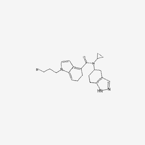 O=C(C1=c2ccn(CCCBr)c2=CCC1)N(C1CC1)C1CCc2[nH]ncc2C1